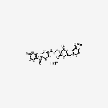 COc1cccc(CN2CC(=O)N(CCCN3CCC(C(=O)c4ccc(F)cc4)CC3)C(=O)C2)c1.Cl